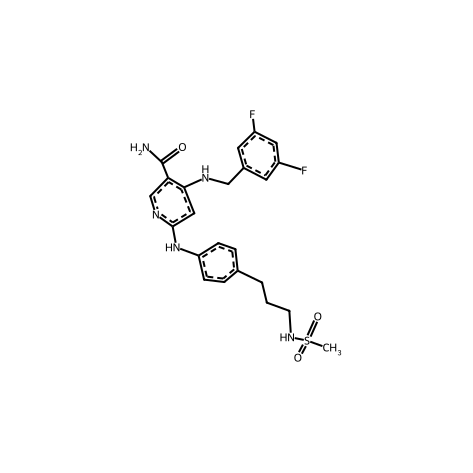 CS(=O)(=O)NCCCc1ccc(Nc2cc(NCc3cc(F)cc(F)c3)c(C(N)=O)cn2)cc1